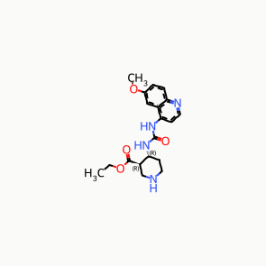 CCOC(=O)[C@@H]1CNCC[C@H]1NC(=O)Nc1ccnc2ccc(OC)cc12